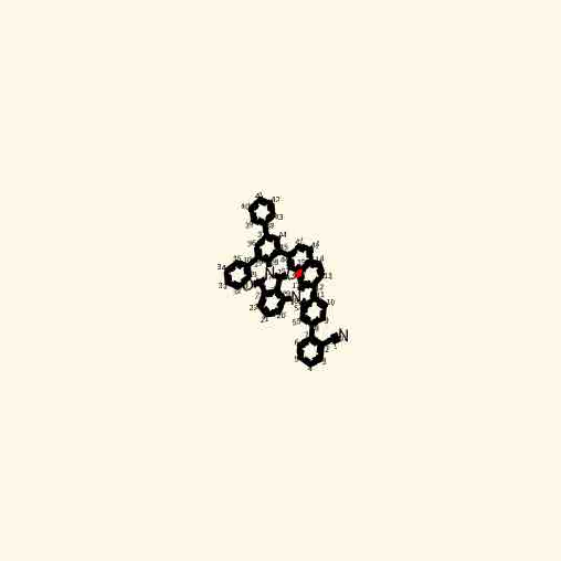 N#Cc1ccccc1-c1ccc2c3ccccc3n(-c3cccc4c3C(=O)N(c3c(-c5ccccc5)cc(-c5ccccc5)cc3-c3ccccc3)C4=O)c2c1